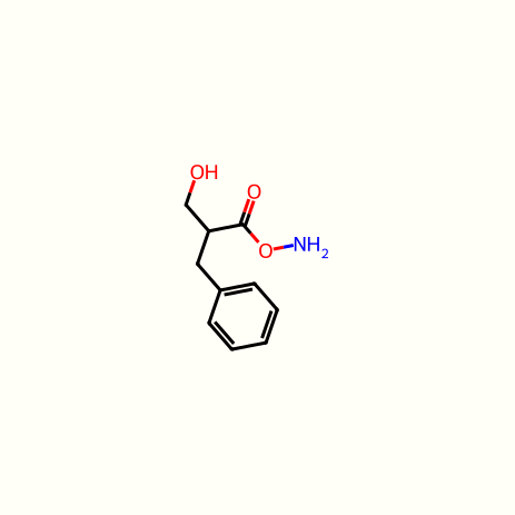 NOC(=O)C(CO)Cc1ccccc1